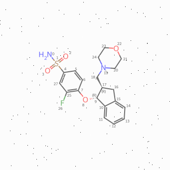 NS(=O)(=O)c1ccc(O[C@H]2c3ccccc3C[C@@H]2CN2CCOCC2)c(F)c1